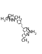 Cc1ccc2c(c1)nc(N)c1ncc(CCc3ccc(C(C)NCCN(C)C)cc3)cc12